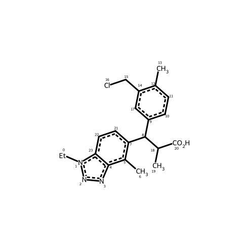 CCn1nnc2c(C)c(C(c3ccc(C)c(CCl)c3)C(C)C(=O)O)ccc21